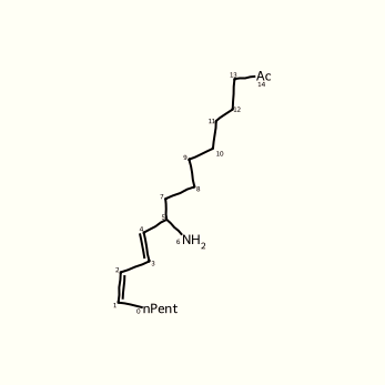 CCCCC/C=C\C=C\C(N)CCCCCCCC(C)=O